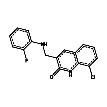 O=c1[nH]c2c(Cl)cccc2cc1CNc1ccccc1F